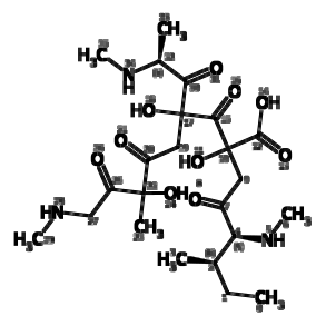 CC[C@@H](C)[C@H](NC)C(=O)CC(O)(C(=O)O)C(=O)C(O)(CC(=O)C(C)(O)C(=O)CNC)C(=O)[C@H](C)NC